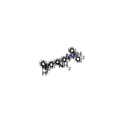 C=C(/N=C(\N=C(/N)c1ccccc1)c1ccccc1)c1ccc(-c2ccc(-c3ccc(N4c5ccccc5NC4CC)cc3)cc2N)cc1